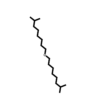 CC(C)CCCCCCOCCCCCCC(C)C